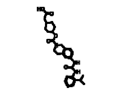 CC(C)c1ccccc1NC(=O)Nc1ccc2c(c1)CCN(C(=O)OC1CCC(CC(=O)O)CC1)C2